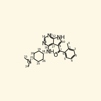 Cc1ccccc1C(=O)c1c[nH]c2ncnc(N[C@H]3CC[C@@H](N(C)C)CC3)c12